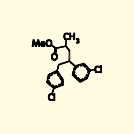 COC(=O)C(C)CC(Cc1ccc(Cl)cc1)c1cccc(Cl)c1